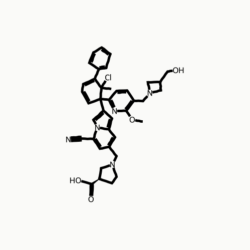 COc1nc(C2(c3cc4cc(CN5CC[C@@H](C(=O)O)C5)cc(C#N)n4c3)C=CC=C(c3ccccc3)C2(C)Cl)ccc1CN1CC(CO)C1